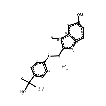 COc1ccc2nc(COc3ccc(C(C)(O)C(=O)O)cc3)n(C)c2c1.Cl